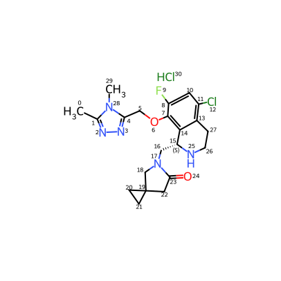 Cc1nnc(COc2c(F)cc(Cl)c3c2[C@@H](CN2CC4(CC4)CC2=O)NCC3)n1C.Cl